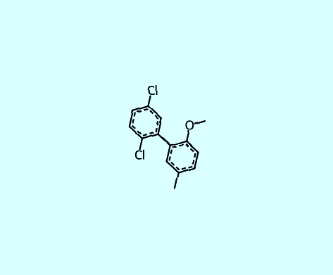 COc1ccc(C)cc1-c1cc(Cl)ccc1Cl